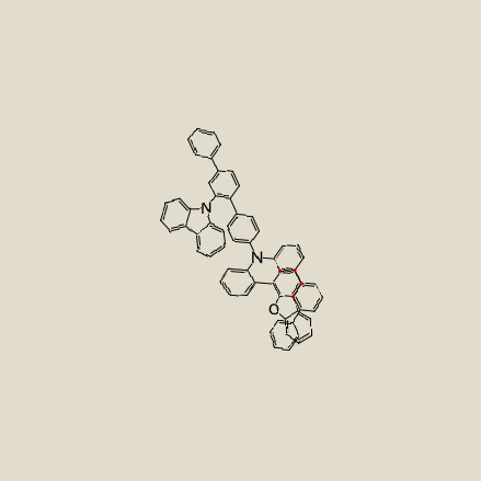 c1ccc(-c2cccc(-c3cccc(N(c4ccc(-c5ccc(-c6ccccc6)cc5-n5c6ccccc6c6ccccc65)cc4)c4ccccc4-c4cccc5c4oc4ccccc45)c3)c2)cc1